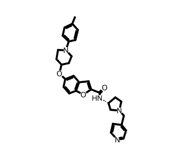 Cc1ccc(N2CCC(Oc3ccc4oc(C(=O)N[C@@H]5CCN(Cc6ccncc6)C5)cc4c3)CC2)cc1